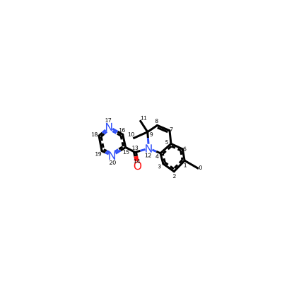 Cc1ccc2c(c1)C=CC(C)(C)N2C(=O)c1cnccn1